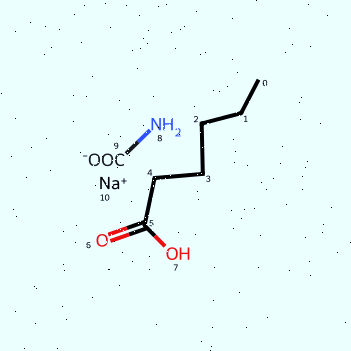 CCCCCC(=O)O.NC(=O)[O-].[Na+]